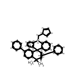 CC1(C)c2ccc(-c3ccccc3)cc2C2(c3ccccc3N(CC3C=CC=C3)c3ccccc32)c2cc(-c3ccccc3)ccc21